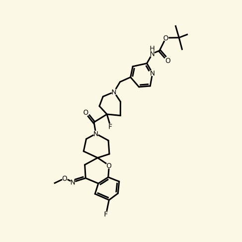 CO/N=C1\CC2(CCN(C(=O)C3(F)CCN(Cc4ccnc(NC(=O)OC(C)(C)C)c4)CC3)CC2)Oc2ccc(F)cc21